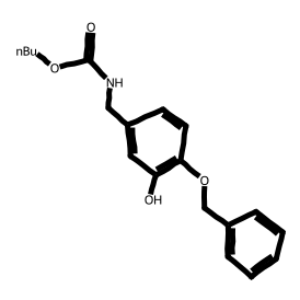 CCCCOC(=O)NCc1ccc(OCc2ccccc2)c(O)c1